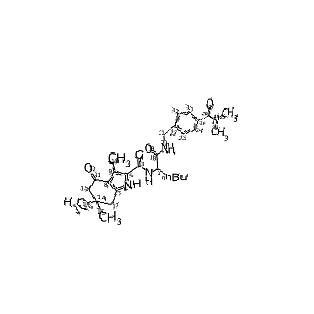 CCCCC(NC(=O)c1[nH]c2c(c1C)C(=O)CC(C)(C)C2)C(=O)NCc1ccc(C(=O)N(C)C)cc1